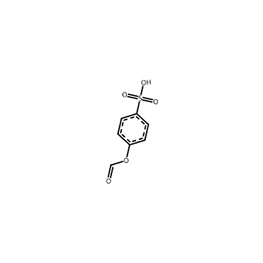 O=COc1ccc(S(=O)(=O)O)cc1